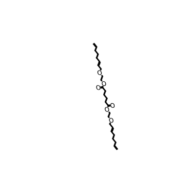 C=CCCCC=CCOCCOC(=O)CCCCC(=O)OCCOCC=CCCCC=C